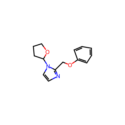 c1ccc(OCc2nccn2C2CCCO2)cc1